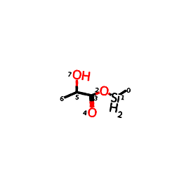 C[SiH2]OC(=O)C(C)O